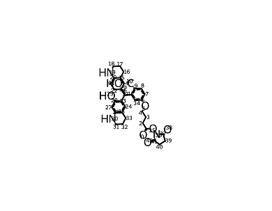 O=C(CCCOc1ccc(C(=O)O)c(/C(=C2\C=C3CCCNC3=CC2)c2cc3c(cc2O)NCCC3)c1)ON1C(=O)CCC1=O